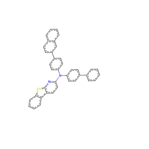 c1ccc(-c2ccc(N(c3ccc(-c4ccc5ccccc5c4)cc3)c3ccc4c(n3)sc3ccccc34)cc2)cc1